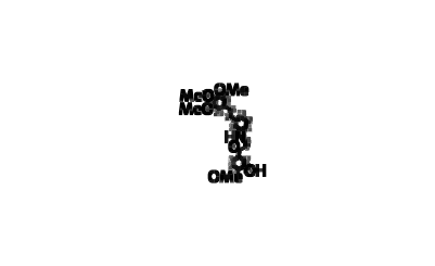 COc1ccc(C(=O)/C=C\Nc2cccc(/C=C/c3cc(OC)c(OC)c(OC)c3)c2)cc1O